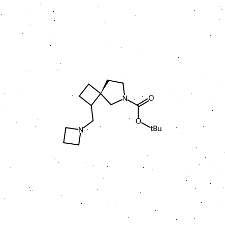 CC(C)(C)OC(=O)N1CC[C@@]2(CCC2CN2CCC2)C1